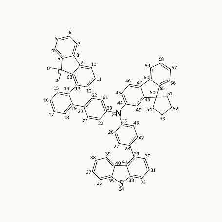 CC1(C)c2ccccc2-c2cccc(-c3ccccc3-c3ccc(N(c4ccc(-c5cccc6sc7ccccc7c56)cc4)c4ccc5c(c4)C4(CCCC4)c4ccccc4-5)cc3)c21